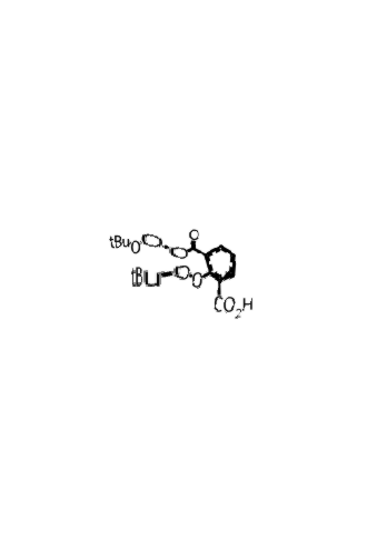 CC(C)(C)OOOC(=O)c1cccc(C(=O)O)c1OOC(C)(C)C